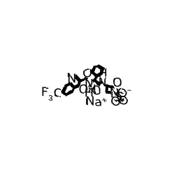 O=C(NC(C(=O)NC1CN(S(=O)(=O)[O-])C1=O)c1ccccc1)c1cnc2cc(C(F)(F)F)ccc2c1O.[Na+]